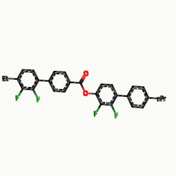 CCCc1ccc(-c2ccc(OC(=O)c3ccc(-c4ccc(CC)c(F)c4F)cc3)c(F)c2F)cc1